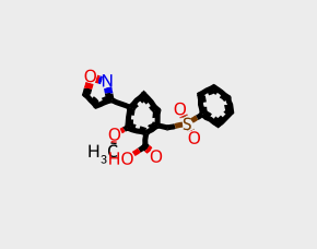 COc1c(-c2ccon2)ccc(CS(=O)(=O)c2ccccc2)c1C(=O)O